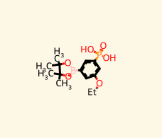 CCOc1cc(B2OC(C)(C)C(C)(C)O2)cc(P(=O)(O)O)c1